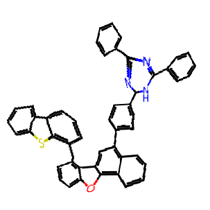 c1ccc(C2=NC(c3ccc(-c4cc5c(oc6cccc(-c7cccc8c7sc7ccccc78)c65)c5ccccc45)cc3)NC(c3ccccc3)=N2)cc1